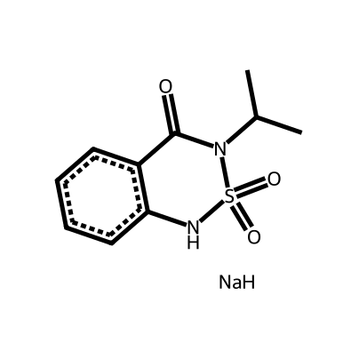 CC(C)N1C(=O)c2ccccc2NS1(=O)=O.[NaH]